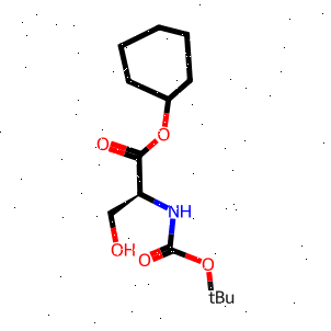 CC(C)(C)OC(=O)N[C@@H](CO)C(=O)OC1CCCCC1